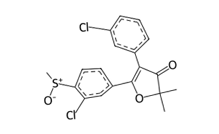 C[S+]([O-])c1ccc(C2=C(c3cccc(Cl)c3)C(=O)C(C)(C)O2)cc1Cl